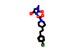 CN1CC(=O)N(OC(=O)N2CCC(CCc3ccc(Cl)cc3)CC2)C1=O